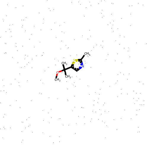 COC(C)(C)c1cnc(C)s1